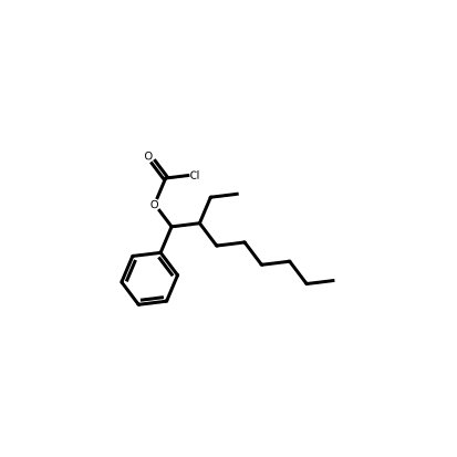 CCCCCCC(CC)C(OC(=O)Cl)c1ccccc1